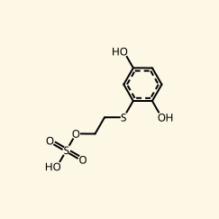 O=S(=O)(O)OCCSc1cc(O)ccc1O